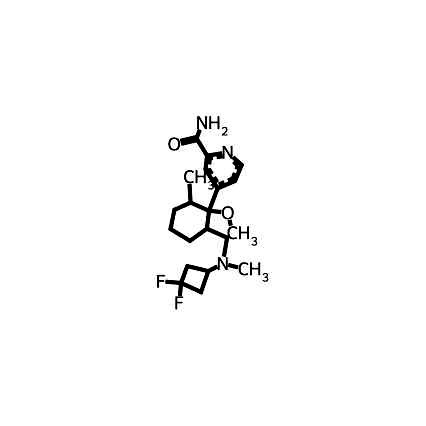 COC1(c2ccnc(C(N)=O)c2)C(C)CCCC1CN(C)C1CC(F)(F)C1